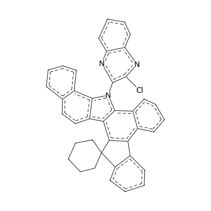 Clc1nc2ccccc2nc1-n1c2c3ccccc3ccc2c2c3c(c4ccccc4c21)-c1ccccc1C31CCCCC1